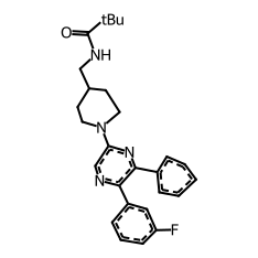 CC(C)(C)C(=O)NCC1CCN(c2cnc(-c3cccc(F)c3)c(-c3ccccc3)n2)CC1